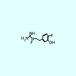 N=C(N)N(F)CCc1ccc(F)c(O)c1